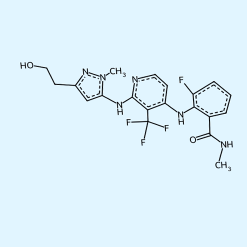 CNC(=O)c1cccc(F)c1Nc1ccnc(Nc2cc(CCO)nn2C)c1C(F)(F)F